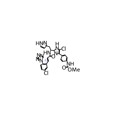 COC(=O)Nc1ccc(-c2nc(C(Cc3cc[nH]n3)NC(=O)/C=C/c3cc(Cl)ccc3-n3cnnn3)[nH]c2Cl)cc1